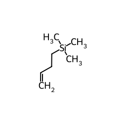 C=CCC[Si](C)(C)C